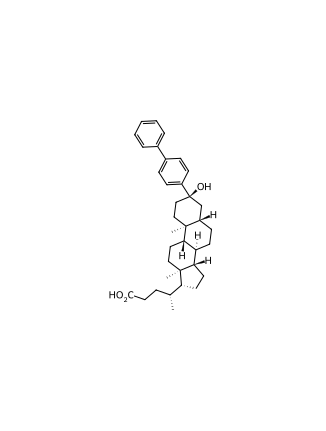 C[C@H](CCC(=O)O)[C@H]1CC[C@H]2[C@@H]3CC[C@H]4C[C@@](O)(c5ccc(-c6ccccc6)cc5)CC[C@]4(C)[C@H]3CC[C@]12C